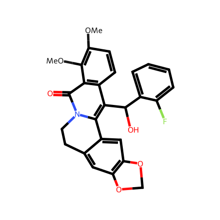 COc1ccc2c(C(O)c3ccccc3F)c3n(c(=O)c2c1OC)CCc1cc2c(cc1-3)OCO2